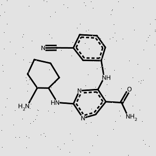 N#Cc1cccc(Nc2nc(NC3CCCCC3N)ncc2C(N)=O)c1